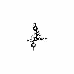 COC1=C(c2nc(-c3ccc(Cl)cc3)sc2C)C(=O)C(C(O)c2ccc(F)cn2)C1